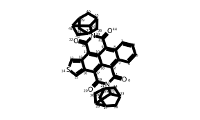 O=C1c2c3ccccc3c3c4c(c5cscc5c(c24)C(=O)N1C1C2CC4CC(C2)C1C4)C(=O)N(C1C2CC4CC(C2)C1C4)C3=O